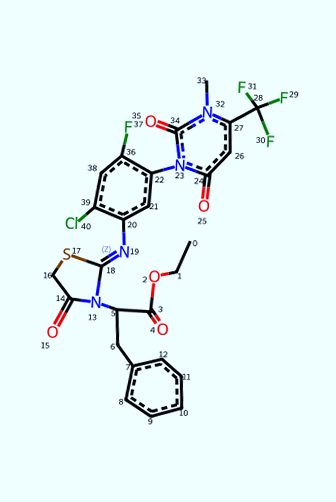 CCOC(=O)C(Cc1ccccc1)N1C(=O)CS/C1=N\c1cc(-n2c(=O)cc(C(F)(F)F)n(C)c2=O)c(F)cc1Cl